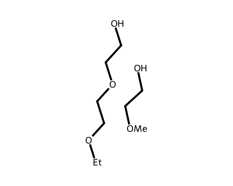 CCOCCOCCO.COCCO